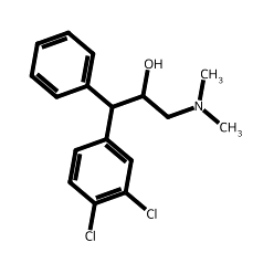 CN(C)CC(O)C(c1ccccc1)c1ccc(Cl)c(Cl)c1